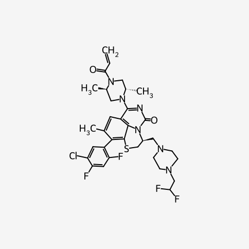 C=CC(=O)N1C[C@H](C)N(c2nc(=O)n3c4c(c(-c5cc(Cl)c(F)cc5F)c(C)cc24)SC[C@@H]3CN2CCN(CC(F)F)CC2)C[C@H]1C